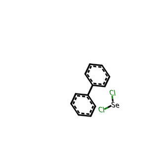 Cl[Se]Cl.c1ccc(-c2ccccc2)cc1